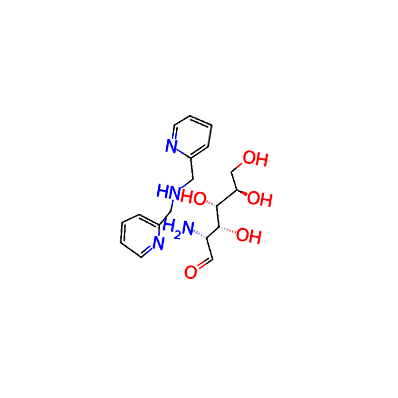 N[C@@H](C=O)[C@@H](O)[C@H](O)[C@H](O)CO.c1ccc(CNCc2ccccn2)nc1